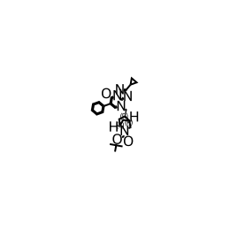 CC(C)(C)OC(=O)N1C[C@@H]2C[C@H]1C[C@H]2Cn1cc(-c2ccccc2)c(=O)n2nc(C3CC3)nc12